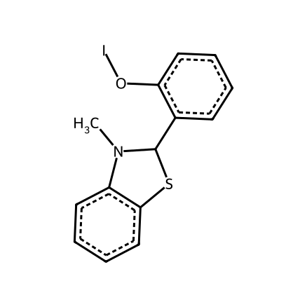 CN1c2ccccc2SC1c1ccccc1OI